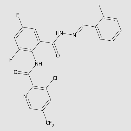 Cc1ccccc1C=NNC(=O)c1cc(F)cc(F)c1NC(=O)c1ncc(C(F)(F)F)cc1Cl